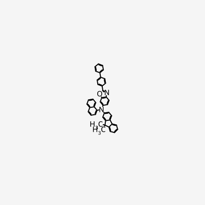 CC1(C)c2ccccc2-c2ccc(N(c3ccc4nc(-c5ccc(-c6ccccc6)cc5)oc4c3)c3cccc4ccccc34)cc21